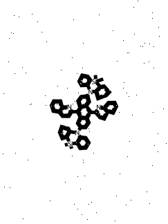 C[Si]1(C)c2ccccc2N(c2ccc3c(-c4ccc5ccccc5n4)c4cc(N5c6ccccc6[Si](C)(C)c6ccccc65)ccc4c(-c4ccc5ccccc5n4)c3c2)c2ccccc21